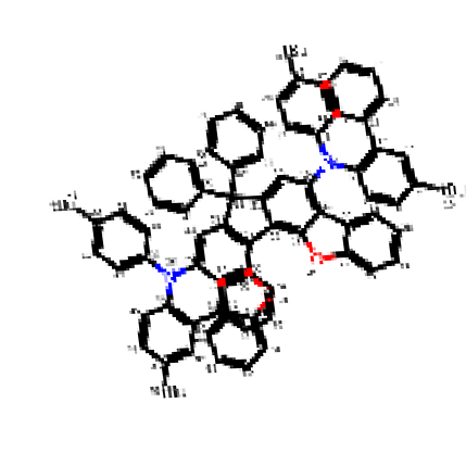 CC(C)(C)c1ccc(N(c2ccc(C(C)(C)C)cc2-c2ccccc2)c2cc3c(c4oc5ccccc5c24)-c2c(cc(N(c4ccc(C(C)(C)C)cc4)c4ccc(C(C)(C)C)cc4-c4ccccc4)c4c2oc2ccccc24)C3(c2ccccc2)c2ccccc2)cc1